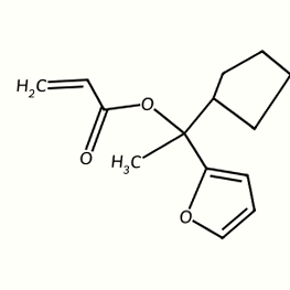 C=CC(=O)OC(C)(c1ccco1)C1CCCC1